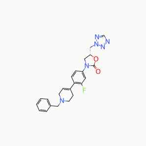 O=C1O[C@@H](Cn2ncnn2)CN1c1ccc(C2=CCN(Cc3ccccc3)CC2)c(F)c1